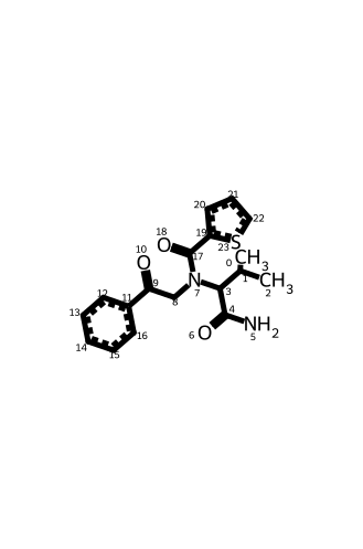 CC(C)C(C(N)=O)N(CC(=O)c1ccccc1)C(=O)c1cccs1